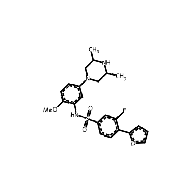 COc1ccc(N2CC(C)NC(C)C2)cc1NS(=O)(=O)c1ccc(-c2ccco2)c(F)c1